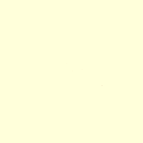 [CH2]CCC=CCCCC